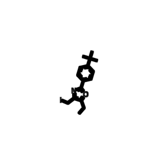 CCc1oc(-c2ccc(C(C)(C)C)cc2)nc1CI